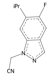 CC(C)c1cc2c(cnn2CC#N)cc1F